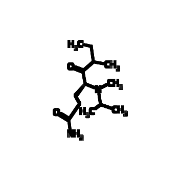 CCC(C)C(=O)[C@H](CCC(N)=O)N(C)C(C)C